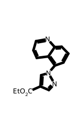 CCOC(=O)c1cnn(-c2cccc3ncccc23)c1